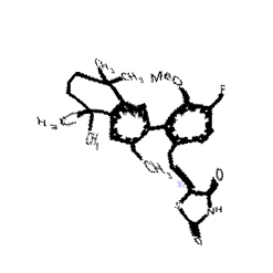 COc1c(F)ccc(/C=C2/SC(=O)NC2=O)c1-c1cc2c(cc1C)C(C)(C)CCC2(C)C